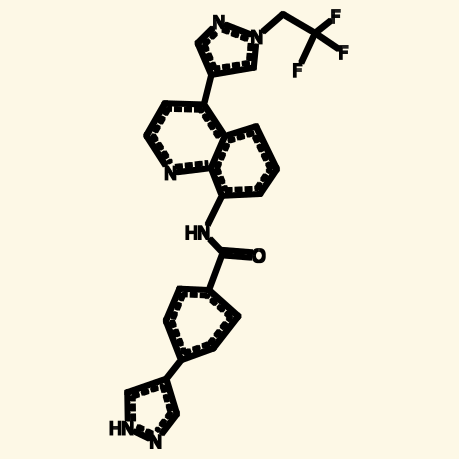 O=C(Nc1cccc2c(-c3cnn(CC(F)(F)F)c3)ccnc12)c1ccc(-c2cn[nH]c2)cc1